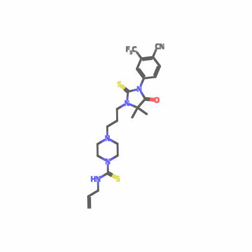 C=CCNC(=S)N1CCN(CCCN2C(=S)N(c3ccc(C#N)c(C(F)(F)F)c3)C(=O)C2(C)C)CC1